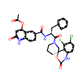 CC(=O)Oc1cc(=O)[nH]c2ccc(C(=O)N[C@@H](Cc3ccccc3)C(=O)N3CCC[C@@]4(C3)OC(=O)Nc3ccc(Cl)c(F)c34)cc12